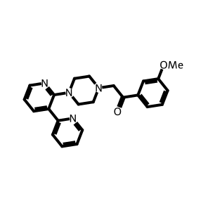 COc1cccc(C(=O)CN2CCN(c3ncccc3-c3ccccn3)CC2)c1